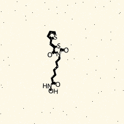 O=C(CCCCCCN1C(=O)SC(=Cc2cccs2)C1=O)NO